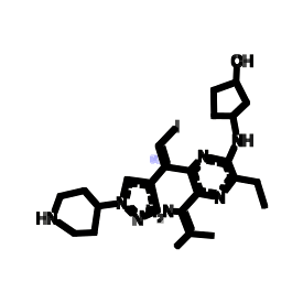 CCc1nc(C(N)=C(C)C)c(/C(=C\I)c2cnn(C3CCNCC3)c2)nc1NC1CCC(O)C1